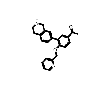 CC(=O)c1ccc(OCc2ccccn2)c(-c2ccc3c(c2)CNCC3)c1